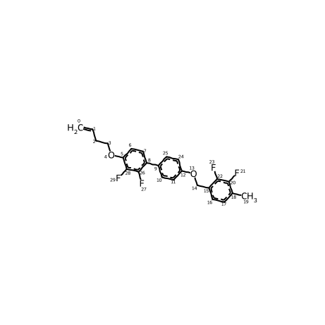 C=CCCOc1ccc(-c2ccc(OCc3ccc(C)c(F)c3F)cc2)c(F)c1F